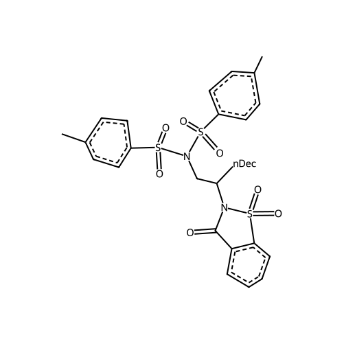 CCCCCCCCCCC(CN(S(=O)(=O)c1ccc(C)cc1)S(=O)(=O)c1ccc(C)cc1)N1C(=O)c2ccccc2S1(=O)=O